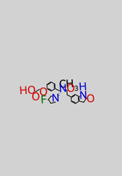 CN(C(=O)Cc1ccc2c(c1)NC(=O)C2)[C@H](CN1CC[C@H](F)C1)c1cccc(OCC(=O)O)c1